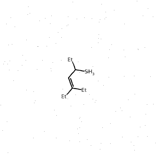 CCC(=CC([SiH3])CC)CC